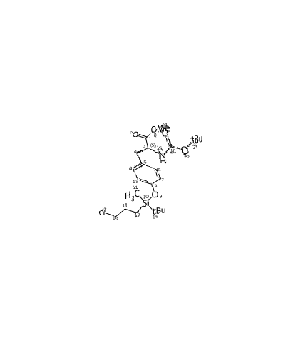 COC(=O)[C@H](Cc1ccc(O[Si](C)(CCCCl)C(C)(C)C)cc1)NC(=O)OC(C)(C)C